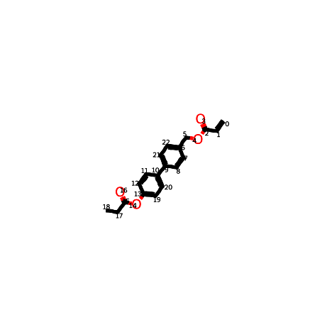 C=CC(=O)OCc1ccc(-c2ccc(OC(=O)CC)cc2)cc1